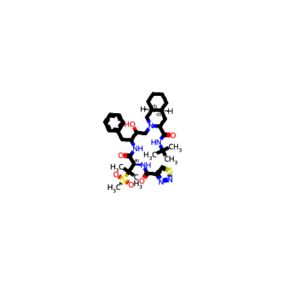 CC(C)(C)NC(=O)C1C[C@@H]2CCCC[C@@H]2CN1CC(O)C(Cc1ccccc1)NC(=O)[C@@H](NC(=O)c1csnn1)C(C)(C)S(C)(=O)=O